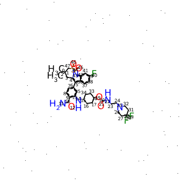 CC1(C)Cc2c(-c3ccc(C(N)=O)c(N[C@H]4CC[C@H](OC(=O)NCCN5CCC(F)(F)CC5)CC4)c3)c3ccc(F)cc3n2S(=O)(=O)C1